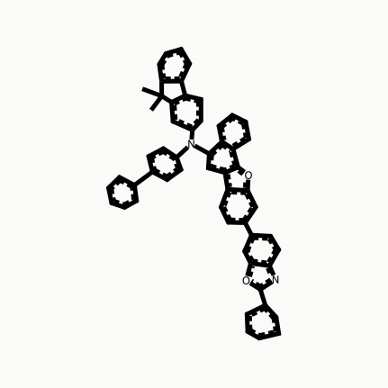 CC1(C)c2ccccc2-c2ccc(N(c3ccc(-c4ccccc4)cc3)c3cc4c5ccc(-c6ccc7nc(-c8ccccc8)oc7c6)cc5oc4c4ccccc34)cc21